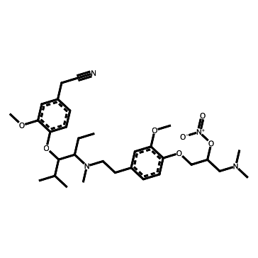 CCC(C(Oc1ccc(CC#N)cc1OC)C(C)C)N(C)CCc1ccc(OCC(CN(C)C)O[N+](=O)[O-])c(OC)c1